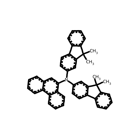 CC1(C)c2ccccc2-c2ccc(N(c3ccc4c(c3)C(C)(C)c3ccccc3-4)c3cc4ccccc4c4ccccc34)cc21